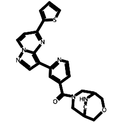 O=C(c1ccnc(-c2cnn3ccc(-c4cccs4)nc23)c1)N1CC2CNC(COC2)C1